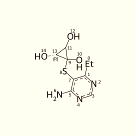 CCc1ncnc(N)c1SC1(O)C(O)[C@H]1O